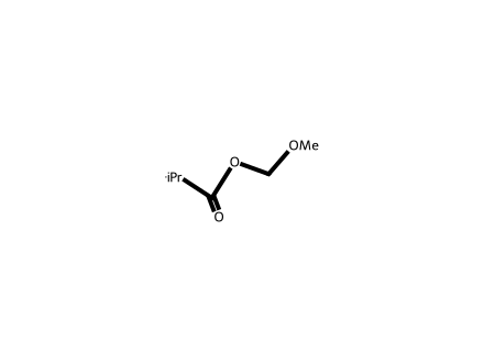 COCOC(=O)[C](C)C